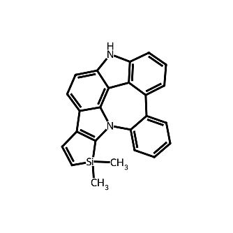 C[Si]1(C)C=Cc2c1n1c3ccccc3c3cccc4[nH]c5ccc2c1c5c43